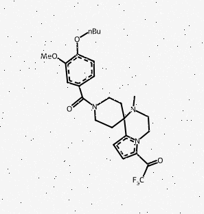 CCCCOc1ccc(C(=O)N2CCC3(CC2)c2ccc(C(=O)C(F)(F)F)n2CCN3C)cc1OC